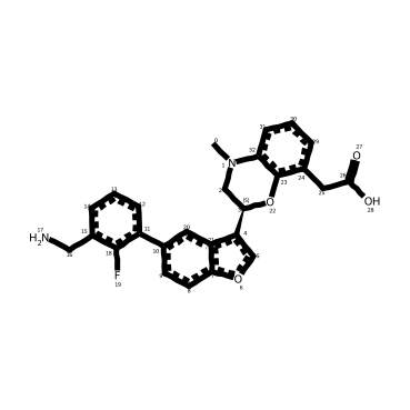 CN1C[C@H](c2coc3ccc(-c4cccc(CN)c4F)cc23)Oc2c(CC(=O)O)cccc21